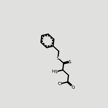 O=C(Cl)CC(S)C(=S)SCc1ccccc1